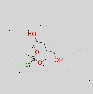 CO[Si](C)(Cl)OC.OCCCCO